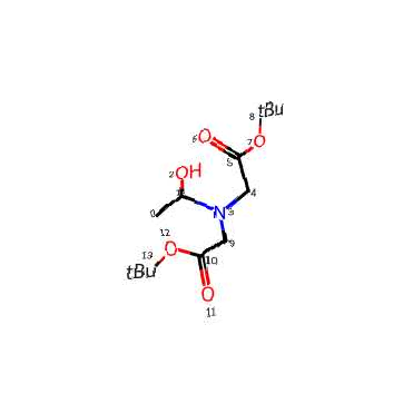 CC(O)N(CC(=O)OC(C)(C)C)CC(=O)OC(C)(C)C